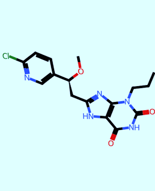 CCCn1c(=O)[nH]c(=O)c2[nH]c(C[C@H](OC)c3ccc(Cl)nc3)nc21